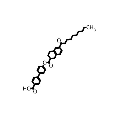 CCCCCCCCCC(=O)c1ccc2c(c1)CCC(C(=O)Oc1ccc(-c3ccc(C(=O)O)cc3)cc1)C2